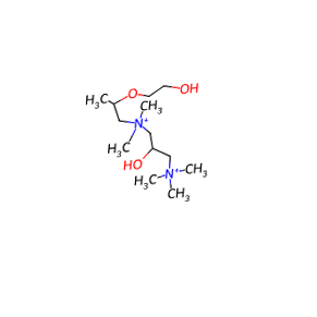 CC(C[N+](C)(C)CC(O)C[N+](C)(C)C)OCCO